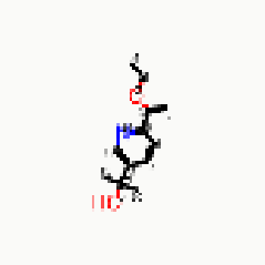 C=C(OCC)c1ccc(C(C)(C)O)cn1